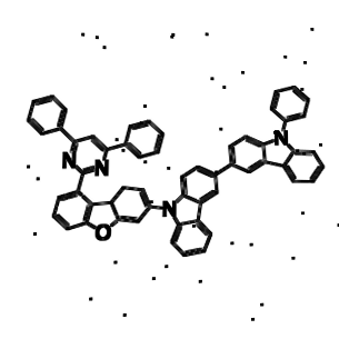 C1=C2Oc3cccc(-c4nc(-c5ccccc5)cc(-c5ccccc5)n4)c3C2CC=C1n1c2ccccc2c2cc(-c3ccc4c(c3)c3ccccc3n4-c3ccccc3)ccc21